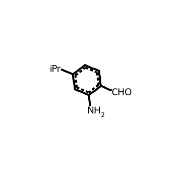 CC(C)c1ccc(C=O)c(N)c1